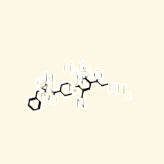 CCCC(=O)c1cc(C#N)c(N2CCC(C(=O)NS(=O)(=O)Cc3ccccc3)CC2)nc1SC